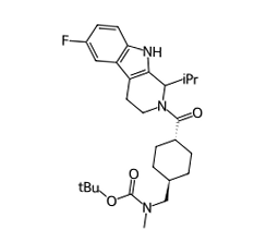 CC(C)C1c2[nH]c3ccc(F)cc3c2CCN1C(=O)[C@H]1CC[C@H](CN(C)C(=O)OC(C)(C)C)CC1